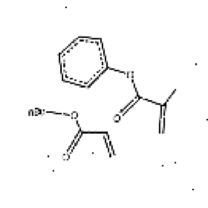 C=C(C)C(=O)Oc1ccccc1.C=CC(=O)OCCCC